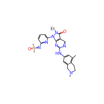 CCn1c(=O)c2cnc(Nc3cc(C)c4c(c3)CN(C)CC4)nc2n1-c1cccc(N=S(C)(C)=O)n1